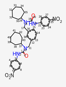 O=C(Nc1ccc([N+](=O)[O-])cc1)N(Cc1cccc(CN(C(=O)Nc2ccc([N+](=O)[O-])cc2)C2CCCCCC2)c1)C1CCCCCC1